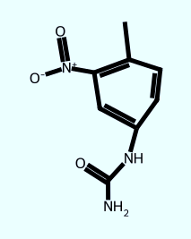 Cc1ccc(NC(N)=O)cc1[N+](=O)[O-]